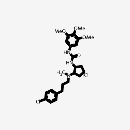 COc1cc(NC(=O)NC2CCCC2N(C)CCCc2ccc(Cl)cc2)cc(OC)c1OC.Cl